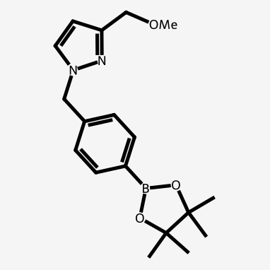 COCc1ccn(Cc2ccc(B3OC(C)(C)C(C)(C)O3)cc2)n1